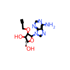 C#CCOC1C(O)[C@@H](CO)OC1n1cnc2c(N)ncnc21